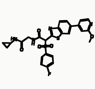 COc1cc(-c2ccc3nc(C(C(=O)NCC(=O)NC4CC4)S(=O)(=O)c4ccc(F)cc4)sc3c2)ccn1